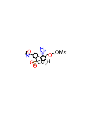 COCCOCc1cccc(-c2ccc(-c3ncco3)cc2C(C(=O)O)=S(=O)=O)c1N